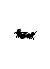 CS(=O)(=O)Nc1ccc(C(=O)Nc2cccc(-c3cnc(NC4Cc5ccccc5C4)nc3)c2)cn1